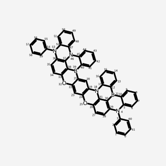 c1ccc(N2c3ccccc3B3c4ccccc4N4c5cc6c(cc5Oc5ccc2c3c54)Oc2ccc3c4c2B6c2ccccc2N4c2ccccc2N3c2ccccc2)cc1